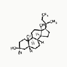 CC[C@]1(O)CC[C@@]2(C)[C@H](CC[C@@H]3[C@@H]2CC[C@]2(C)[C@@H]([C@H](C)CC(F)(F)F)CC[C@@H]32)C1